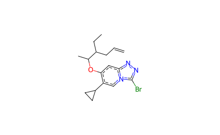 C=CCC(CC)C(C)Oc1cc2nnc(Br)n2cc1C1CC1